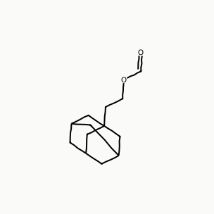 O=COCCC12CC3CC(CC(C3)C1)C2